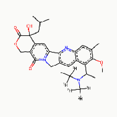 [2H]C([2H])([2H])N(C(C)c1c(OC)c(C)cc2nc3c(cc12)Cn1c-3cc2c(c1=O)COC(=O)[C@]2(O)CC(C)C)C([2H])([2H])C